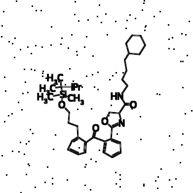 CC(C)C(C)(C)[Si](C)(C)OCCCc1ccccc1C(=O)c1ccccc1C1=NC(C(=O)NCCCCC2CCCCC2)CO1